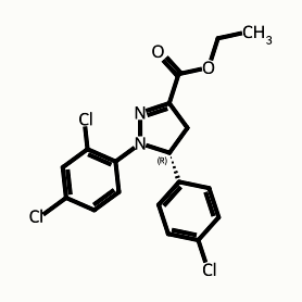 CCOC(=O)C1=NN(c2ccc(Cl)cc2Cl)[C@@H](c2ccc(Cl)cc2)C1